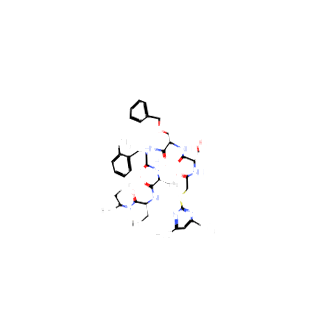 Cc1cc(C)nc(SCC(=O)N[C@@H](CO)C(=O)N[C@H](COCc2ccccc2)C(=O)N[C@@H](Cc2ccccc2C)C(=O)N[C@H](C(=O)N[C@@H](CC(C)C)C(=O)NC(C=O)CC(F)(F)F)C(C)(C)C)n1